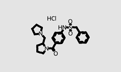 Cl.O=C(c1ccc(NS(=O)(=O)Cc2ccccc2)cc1)N1CCCC1CN1CCCC1